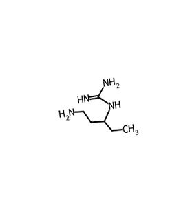 CCC(CCN)NC(=N)N